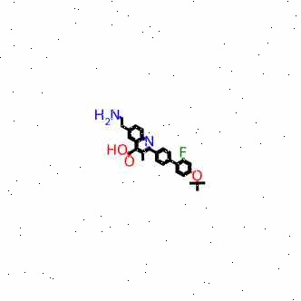 Cc1c(-c2ccc(-c3ccc(OC(C)(C)C)cc3F)cc2)nc2ccc(CCN)cc2c1C(=O)O